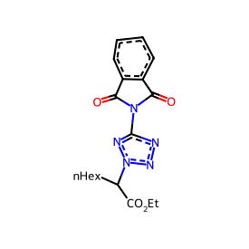 CCCCCCC(C(=O)OCC)n1nnc(N2C(=O)c3ccccc3C2=O)n1